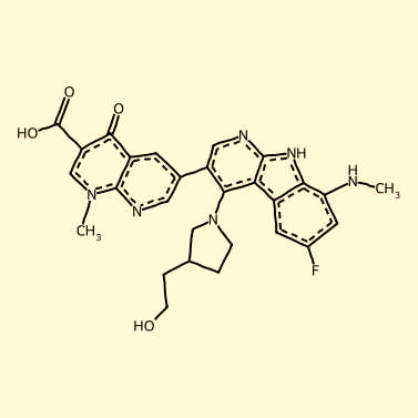 CNc1cc(F)cc2c1[nH]c1ncc(-c3cnc4c(c3)c(=O)c(C(=O)O)cn4C)c(N3CCC(CCO)C3)c12